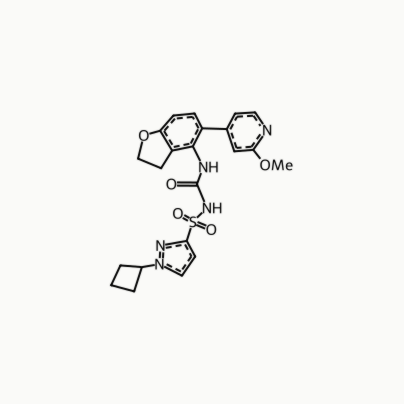 COc1cc(-c2ccc3c(c2NC(=O)NS(=O)(=O)c2ccn(C4CCC4)n2)CCO3)ccn1